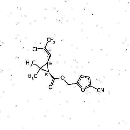 CC1(C)[C@H](C(=O)OCc2ccc(C#N)o2)[C@@H]1/C=C(\Cl)C(F)(F)F